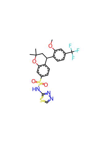 COc1cc(C(F)(F)F)ccc1C1CC(C)(C)Oc2cc(S(=O)(=O)Nc3nncs3)ccc21